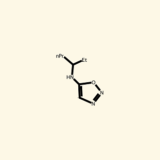 CCCC(CC)Nc1[c]nno1